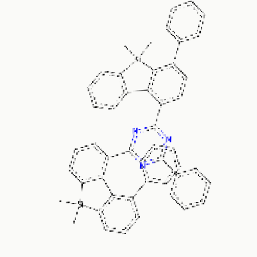 C[Si]1(C)c2cccc(-c3ccccc3)c2-c2c(-c3nc(-c4ccccc4)nc(-c4ccc(-c5ccccc5)c5c4-c4ccccc4[Si]5(C)C)n3)cccc21